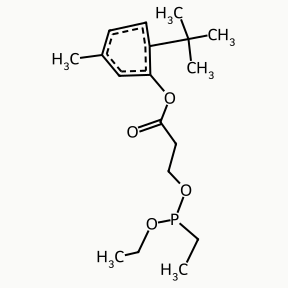 CCOP(CC)OCCC(=O)Oc1cc(C)ccc1C(C)(C)C